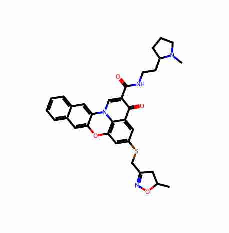 CC1CC(CSc2cc3c4c(c2)c(=O)c(C(=O)NCCC2CCCN2C)cn4-c2cc4ccccc4cc2O3)=NO1